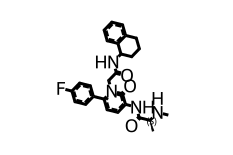 CN[C@@H](C)C(=O)Nc1ccc(-c2ccc(F)cc2)n(CC(=O)NC2CCCc3ccccc32)c1=O